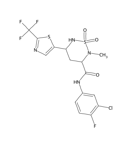 CN1C(C(=O)Nc2ccc(F)c(Cl)c2)CC(c2cnc(C(F)(F)F)s2)NS1(=O)=O